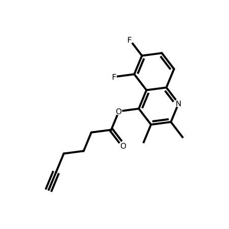 C#CCCCC(=O)Oc1c(C)c(C)nc2ccc(F)c(F)c12